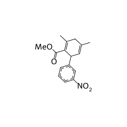 COC(=O)C1=C(C)CC(C)=CC1c1cccc([N+](=O)[O-])c1